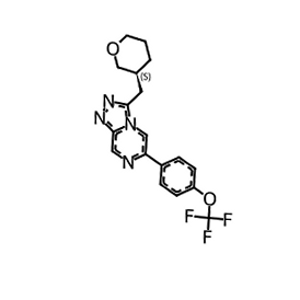 FC(F)(F)Oc1ccc(-c2cn3c(C[C@@H]4CCCOC4)nnc3cn2)cc1